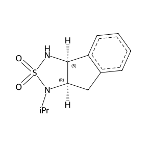 CC(C)N1[C@@H]2Cc3ccccc3[C@@H]2NS1(=O)=O